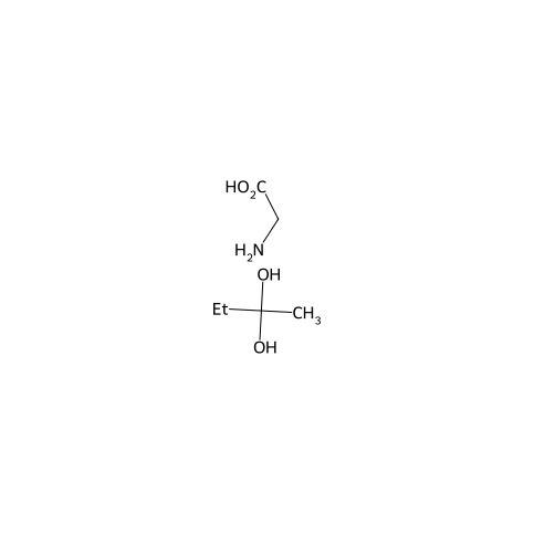 CCC(C)(O)O.NCC(=O)O